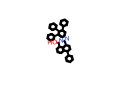 OC1c2cccc3c(-c4ccccc4)ccc(c23)-c2nc3cc(-c4ccccc4)c(-c4ccccc4)c(-c4ccccc4)c3n21